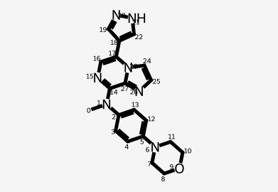 CN(c1ccc(N2CCOCC2)cc1)c1ncc(-c2cn[nH]c2)n2ccnc12